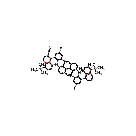 C[Si](C)(C)c1ccc(N(c2c(F)cc(F)cc2-c2ccccc2C#N)c2ccc3ccc4c(N(c5ccc([Si](C)(C)C)cc5)c5c(F)cc(F)cc5-c5ccccc5C#N)ccc5ccc2c3c54)cc1